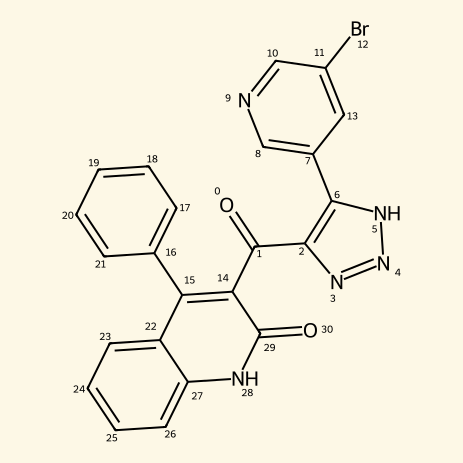 O=C(c1nn[nH]c1-c1cncc(Br)c1)c1c(-c2ccccc2)c2ccccc2[nH]c1=O